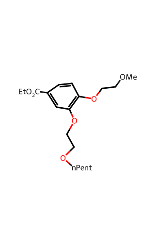 CCCCCOCCOc1cc(C(=O)OCC)ccc1OCCOC